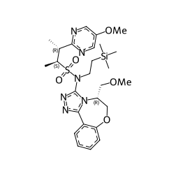 COC[C@@H]1COc2ccccc2-c2nnc(N(CC[Si](C)(C)C)S(=O)(=O)[C@@H](C)[C@H](C)c3ncc(OC)cn3)n21